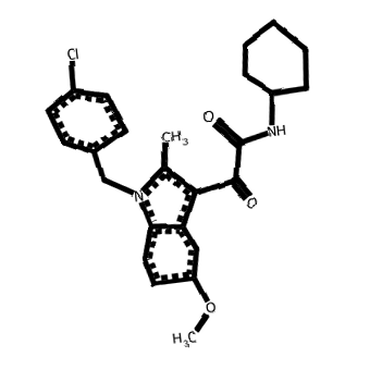 COc1ccc2c(c1)c(C(=O)C(=O)NC1CCCCC1)c(C)n2Cc1ccc(Cl)cc1